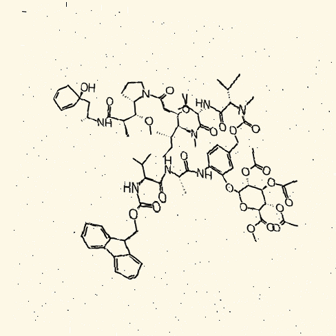 CC[C@H](C)[C@@H]([C@@H](CC(=O)N1CCC[C@H]1[C@H](OC)[C@@H](C)C(=O)N[C@H](C)C[C@]1(O)C=CC=CC1)OC)N(C)C(=O)[C@@H](NC(=O)[C@H](C(C)C)N(C)C(=O)OCc1ccc(NC(=O)[C@H](C)NC(=O)[C@@H](NC(=O)OCC2c3ccccc3-c3ccccc32)C(C)C)c(O[C@@H]2O[C@H](C(=O)OC)[C@@H](OC(C)=O)[C@H](OC(C)=O)[C@H]2OC(C)=O)c1)C(C)C